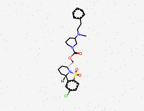 CN(CCc1ccccc1)C1CCCN(C(=O)OC[C@H]2CCC[C@H]3c4cc(Cl)ccc4S(=O)(=O)N23)C1